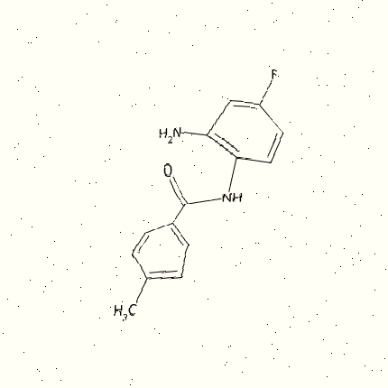 Cc1ccc(C(=O)Nc2ccc(F)cc2N)cc1